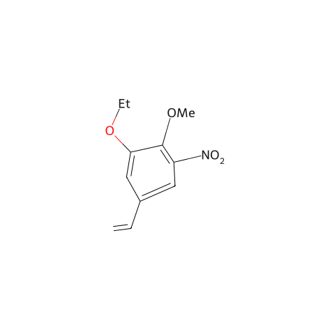 C=Cc1cc(OCC)c(OC)c([N+](=O)[O-])c1